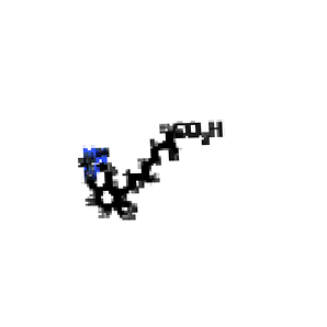 CC1=C(/C=C/C(C)=C/C=C/C(C)=C/C(=O)O)C(C)(C)CCC1Cn1cnnc1